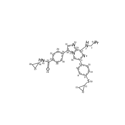 CC(C)CNc1nc(-c2ccc(SC3CC3)cc2)cn2c(-c3ccc(C(=O)NC4CC4)cc3)cnc12